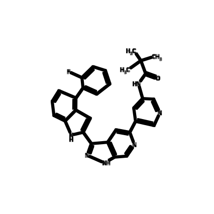 CC(C)(C)C(=O)Nc1cncc(-c2cc3c(-c4cc5c(-c6ccccc6F)cccc5[nH]4)n[nH]c3cn2)c1